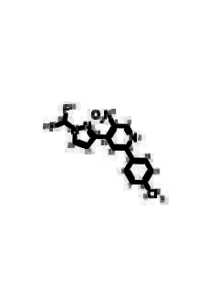 O=[N+]([O-])c1cnc(-c2ccc(C(F)(F)F)cc2)cc1-c1ccn(C(F)F)n1